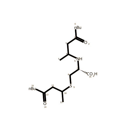 CCCCC(=O)CC(C)N[C@@H](CSC(C)CC(=O)CCCC)C(=O)O